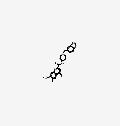 Cc1cc2oc(C(=O)NC3CCN(Cc4ccc5c(c4)OCO5)CC3)cc(=O)c2cc1F